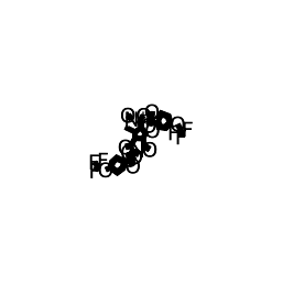 O=C1C2C(=O)N(OS(=O)(=O)c3ccc(OC(F)(F)F)cc3)C(=O)C2C2C[N+](=O)C(OS(=O)(=O)c3ccc(OC(F)(F)F)cc3)C12